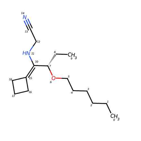 CCCCCCO[C@@H](CC)C(NCC#N)=C1CCC1